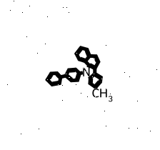 Cc1ccc2c3ccc4ccccc4c3n(-c3ccc(-c4ccccc4)cc3)c2c1